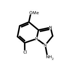 COC1=CC=C(Cl)N2C1=NCN2N